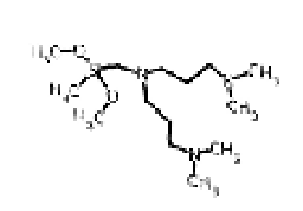 CO[Si](C)(CN(CCCN(C)C)CCCN(C)C)OC